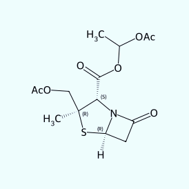 CC(=O)OC[C@]1(C)S[C@@H]2CC(=O)N2[C@H]1C(=O)OC(C)OC(C)=O